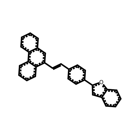 C(=Cc1cc2ccccc2c2ccccc12)c1ccc(-c2cc3ccccc3o2)cc1